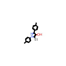 CCc1c(O)c(-c2ccc(C)cc2)nn1-c1ccc(C)cc1